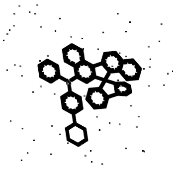 c1ccc(N(c2ccc(C3CCCCC3)cc2)c2cc3c(c4ccccc24)-c2ccc4ccccc4c2C32c3ccccc3-c3ccccc32)cc1